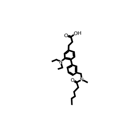 CCCCCC(=O)N(C)Cc1cccc(-c2ccc(CCC(=O)O)cc2N(CC)CC)c1